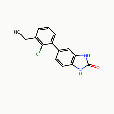 N#CCc1cccc(-c2ccc3[nH]c(=O)[nH]c3c2)c1Cl